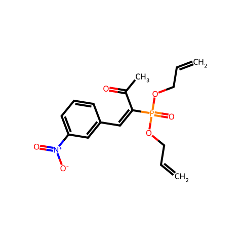 C=CCOP(=O)(OCC=C)C(=Cc1cccc([N+](=O)[O-])c1)C(C)=O